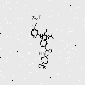 CC(C)n1c(=O)n(-c2cc(OCC(F)F)ccn2)c2ccc(C(=O)NC3(C)CCS(=O)(=O)CC3)cc21